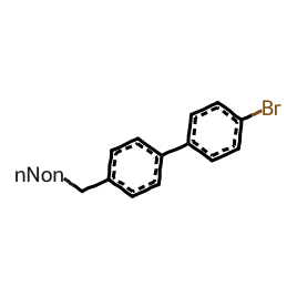 CCCCCCCCCCc1ccc(-c2ccc(Br)cc2)cc1